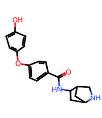 O=C(NC1CC2CC1CN2)c1ccc(Oc2ccc(O)cc2)cc1